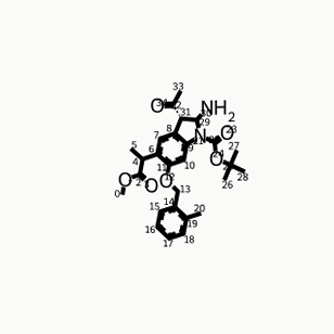 COC(=O)C(C)c1cc2c(cc1OCc1ccccc1C)N(C(=O)OC(C)(C)C)C(N)[C@H]2C(C)=O